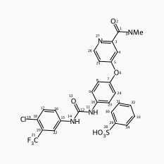 CNC(=O)c1cc(Oc2ccc(NC(=O)Nc3ccc(Cl)c(C(F)(F)F)c3)cc2)ccn1.O=S(=O)(O)c1ccccc1